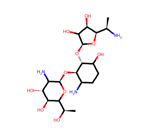 C[C@@H](O)C1O[C@H](O[C@@H]2C(N)CCC(O)[C@H]2O[C@@H]2O[C@H]([C@@H](C)N)[C@H](O)C2O)C(N)[C@@H](O)[C@@H]1O